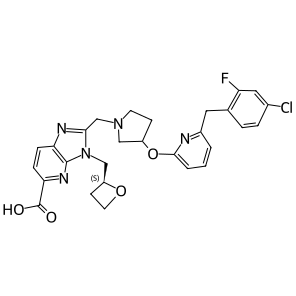 O=C(O)c1ccc2nc(CN3CCC(Oc4cccc(Cc5ccc(Cl)cc5F)n4)C3)n(C[C@@H]3CCO3)c2n1